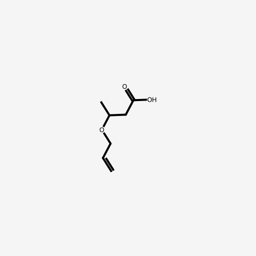 C=CCOC(C)CC(=O)O